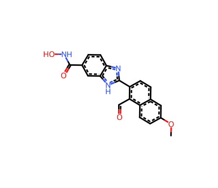 COc1ccc2c(C=O)c(-c3nc4ccc(C(=O)NO)cc4[nH]3)ccc2c1